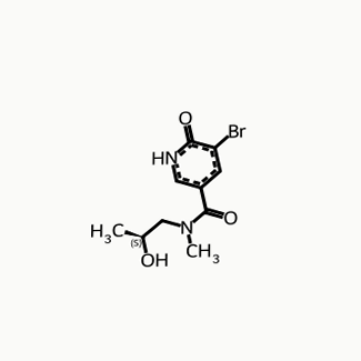 C[C@H](O)CN(C)C(=O)c1c[nH]c(=O)c(Br)c1